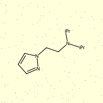 CC(C)N(CCn1cccn1)C(C)C